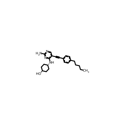 CCCCCc1ccc(C#Cc2cnc(N)nc2N[C@H]2CC[C@H](O)CC2)cc1